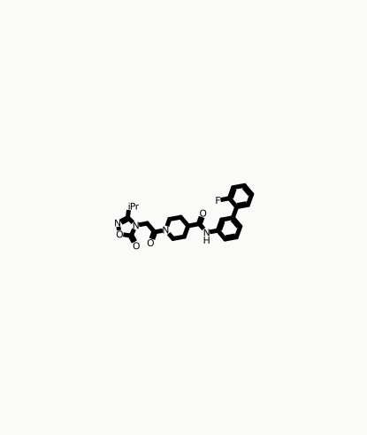 CC(C)c1noc(=O)n1CC(=O)N1CCC(C(=O)Nc2cccc(-c3ccccc3F)c2)CC1